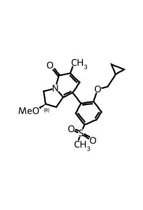 CO[C@@H]1Cc2c(-c3cc(S(C)(=O)=O)ccc3OCC3CC3)cc(C)c(=O)n2C1